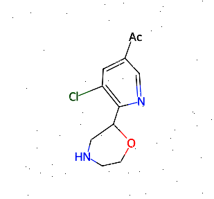 CC(=O)c1cnc(C2CNCCO2)c(Cl)c1